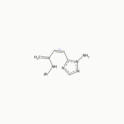 C=C(/C=C\c1ncnn1N)NC(C)C